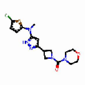 CN(c1cc(C2CN(C(=O)N3CCOCC3)C2)n[nH]1)c1ccc(Cl)s1